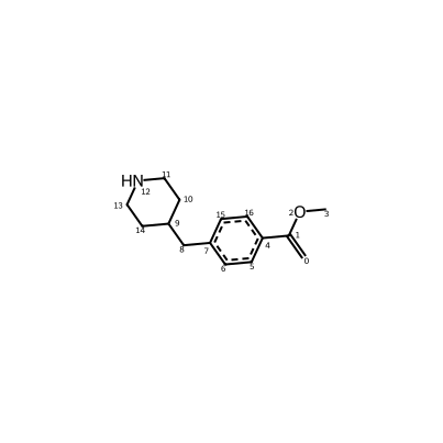 C=C(OC)c1ccc(CC2CCNCC2)cc1